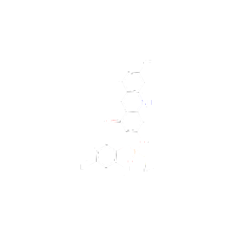 CCCSP(=O)(Oc1cc2[nH]c3cc(C(F)(F)F)ccc3cc-2c(=O)c1)Oc1ccc(CC)cc1CC